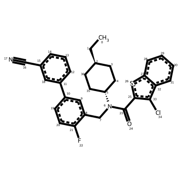 CC[C@H]1CC[C@H](N(Cc2cc(-c3cccc(C#N)c3)ccc2F)C(=O)c2sc3ccccc3c2Cl)CC1